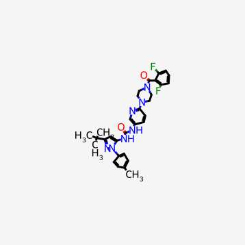 Cc1ccc(-n2nc(C(C)(C)C)cc2NC(=O)Nc2ccc(N3CCN(C(=O)c4c(F)cccc4F)CC3)nc2)cc1